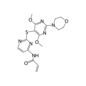 C=CC(=O)Nc1ccnc(Sc2c(OC)nc(N3CCOCC3)nc2OC)n1